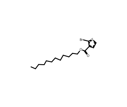 CCCCCCCCCCCCOC(=O)c1ccsc1Br